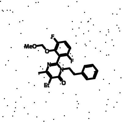 CCc1c(C)nc(-c2c(F)ccc(F)c2OCOC)n(CCc2ccccc2)c1=O